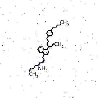 C=C/C=C(\CCCC1=CC=C(CCCC=C)CC1)C1=c2ccccc2=C(C/C=C\C=C(/N)CC/C=C\C)CC1